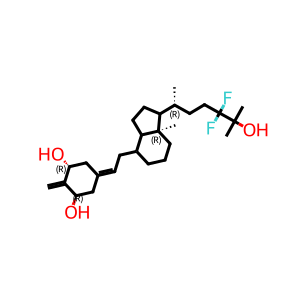 C=C1[C@H](O)CC(=CCC2CCC[C@@]3(C)C2CCC3[C@H](C)CCC(F)(F)C(C)(C)O)C[C@H]1O